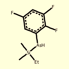 CC[Si](C)(C)[AsH]c1cc(F)cc(F)c1F